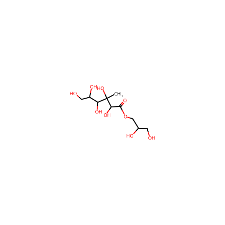 CC(O)(C(O)C(=O)OCC(O)CO)C(O)C(O)CO